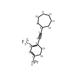 CCCC1=CC(C(F)(F)F)=C(C#CC2CCCCCC2)[CH]C1